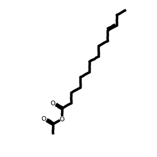 CC/C=C/CCCCCCCCCC(=O)OC(C)=O